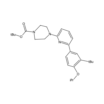 CC(C)Oc1ccc(-c2cccc(N3CCN(C(=O)OC(C)(C)C)CC3)n2)cc1C(C)(C)C